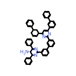 N[C@@H]1C(c2ccccc2)=NC(c2cccc(-c3cccc(-c4nc(-c5cccc(-c6ccccc6)c5)cc(C5C=CCC(c6ccccc6)C5)n4)c3)c2)=NC1c1ccccc1